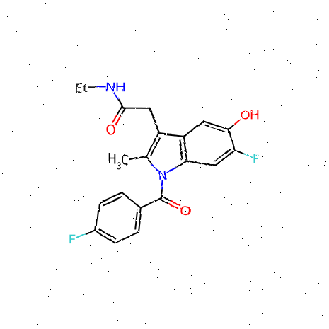 CCNC(=O)Cc1c(C)n(C(=O)c2ccc(F)cc2)c2cc(F)c(O)cc12